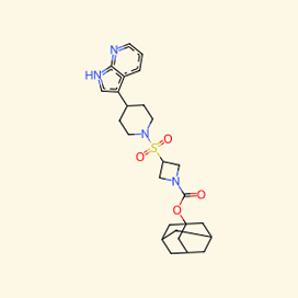 O=C(OC12CC3CC(CC(C3)C1)C2)N1CC(S(=O)(=O)N2CCC(c3c[nH]c4ncccc34)CC2)C1